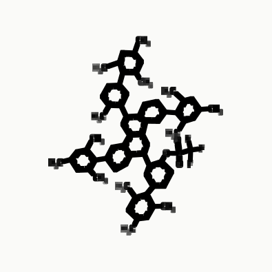 Cc1cc(C)c(-c2ccc(C)c(-c3cc4c5cc(-c6c(C)cc(C)cc6C)ccc5c(-c5cc(-c6c(C)cc(C)cc6C)ccc5OS(=O)(=O)C(F)(F)F)cc4c4cc(-c5c(C)cc(C)cc5C)ccc34)c2)c(C)c1